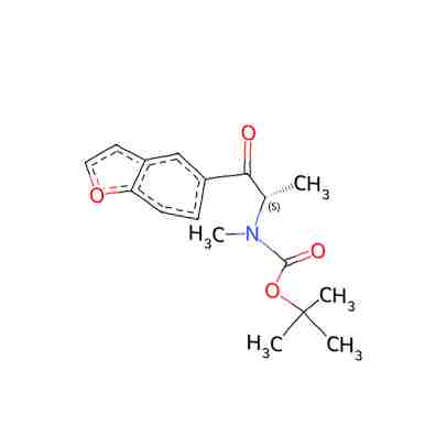 C[C@@H](C(=O)c1ccc2occc2c1)N(C)C(=O)OC(C)(C)C